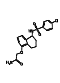 NC(=O)COc1cccc2c1CCCC2NS(=O)(=O)c1ccc(Cl)cc1